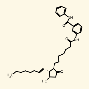 CCCCCC/C=C/[C@H]1[C@H](O)CC(=O)[C@@H]1CCCCCCC(=O)Nc1cccc(C(=O)Nc2ccccc2)c1